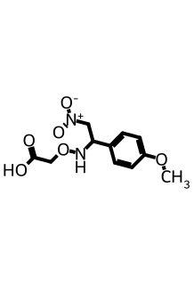 COc1ccc(C(C[N+](=O)[O-])NOCC(=O)O)cc1